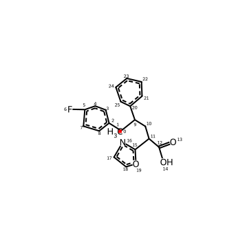 CC(c1ccc(F)cc1)C(CC(C(=O)O)c1ncco1)c1ccccc1